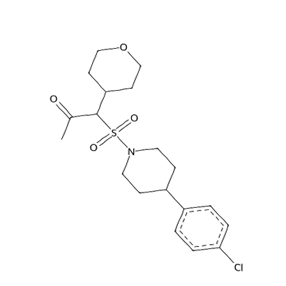 CC(=O)C(C1CCOCC1)S(=O)(=O)N1CCC(c2ccc(Cl)cc2)CC1